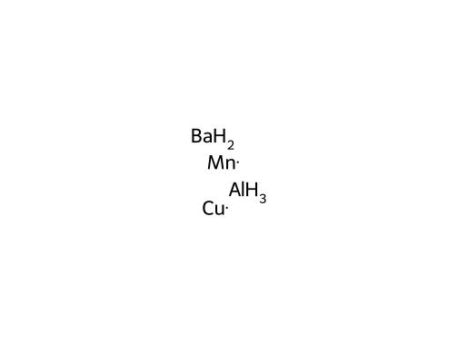 [AlH3].[BaH2].[Cu].[Mn]